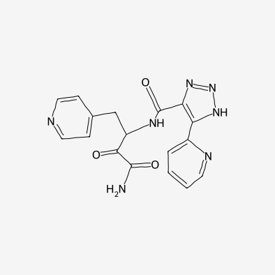 NC(=O)C(=O)C(Cc1ccncc1)NC(=O)c1nn[nH]c1-c1ccccn1